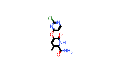 Cc1cc(Oc2ccnc(Cl)n2)c(=O)[nH]c1C(N)=O